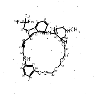 CN1CC[C@H]2Nc3cccc4c3cc(n4CC(F)(F)F)C#CCNc3cccc(c3)OCCCCOCCO[C@H]2C1